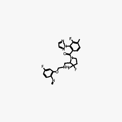 C=Nc1ccc(F)cc1OCNCC1N(C(=O)c2ccc(C)c(F)c2-n2nccn2)CCC1(F)F